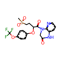 CS(=O)(=O)CCC(Oc1ccc(OC(F)(F)F)cc1)C(=O)N1CC(=O)Nc2cccnc21